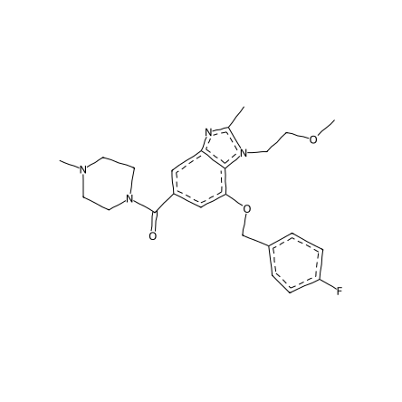 COCCn1c(C)nc2cc(C(=O)N3CCN(C)CC3)cc(OCc3ccc(F)cc3)c21